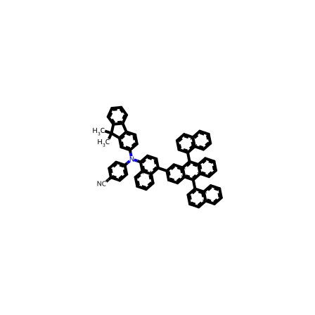 CC1(C)c2ccccc2-c2ccc(N(c3ccc(C#N)cc3)c3ccc(-c4ccc5c(-c6cccc7ccccc67)c6ccccc6c(-c6cccc7ccccc67)c5c4)c4ccccc34)cc21